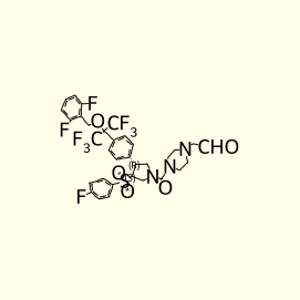 O=CCN1CCN(C(=O)N2C[C@@H](S(=O)(=O)c3ccc(F)cc3)[C@H](c3ccc(C(OCc4c(F)cccc4F)(C(F)(F)F)C(F)(F)F)cc3)C2)CC1